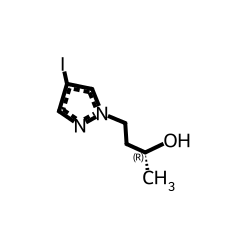 C[C@@H](O)CCn1cc(I)cn1